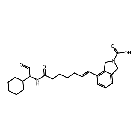 O=C[C@@H](NC(=O)CCCC/C=C/c1cccc2c1CN(C(=O)O)C2)C1CCCCC1